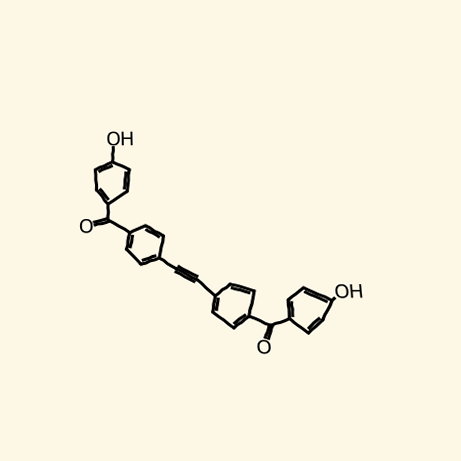 O=C(c1ccc(O)cc1)c1ccc(C#Cc2ccc(C(=O)c3ccc(O)cc3)cc2)cc1